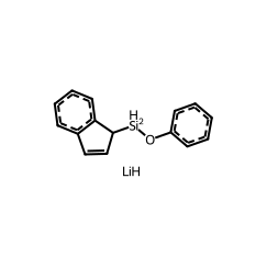 C1=CC([SiH2]Oc2ccccc2)c2ccccc21.[LiH]